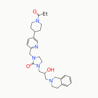 CCC(=O)N1CCC(c2ccc(CN3CCN(CC(O)CN4CCc5ccccc5C4)C3=O)nc2)CC1